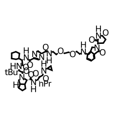 CCC[C@H](NC(=O)[C@@H]1C2CCC[C@H]2CN1C(=O)[C@@H](NC(=O)[C@@H](NC(=O)c1cnc(C(=O)NCCOCCOCCNc2cccc3c2CN(C2CCC(=O)NC2=O)C3=O)cn1)C1CCCCC1)C(C)(C)C)C(=O)C(=O)NC1CC1